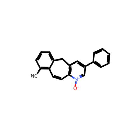 N#Cc1cccc2c1C=Cc1c(cc(-c3ccccc3)c[n+]1[O-])C2